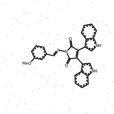 COc1cccc(/C=N/N2C(=O)C(c3c[nH]c4ccccc34)=C(c3c[nH]c4ccccc34)C2=O)c1